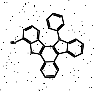 CC(C)(C)c1cccc2c1sc1c3ccccc3c3c4ccccc4n(-c4ccccc4)c3c21